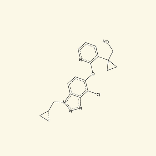 OCC1(c2cccnc2Oc2ccc3c(nnn3CC3CC3)c2Cl)CC1